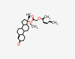 C#C[C@]1(OC(=O)COC(=C)/C=C\C=C)CCC2C3CCC4=CC(=O)CCC4C3CC[C@@]21CC